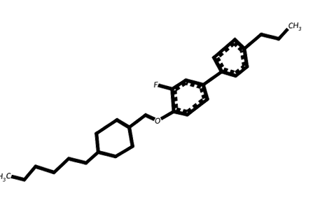 CCCCCCC1CCC(COc2ccc(-c3ccc(CCC)cc3)cc2F)CC1